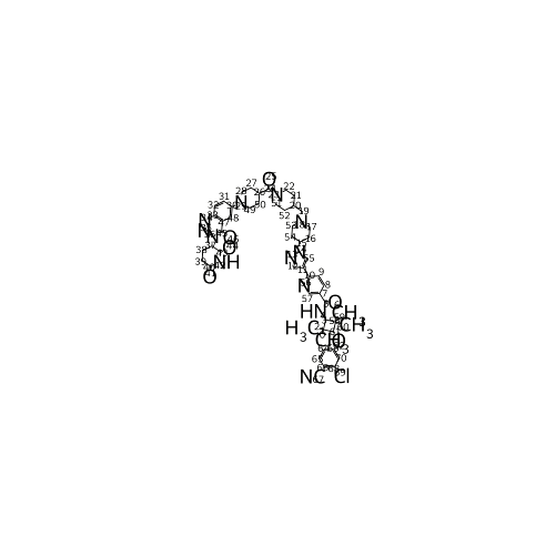 CC1(C)[C@H](NC(=O)c2ccc(-c3cnn(C4CCN(CC5CCN(C(=O)C6CCN(c7ccc8nnn(C9CCC(=O)NC9=O)c(=O)c8c7)CC6)CC5)CC4)c3)nc2)C(C)(C)[C@H]1Oc1ccc(C#N)c(Cl)c1